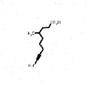 CC#CCCCC(C)CCC(=O)OCC